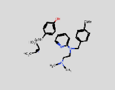 CC(=O)Nc1ccc(O)cc1.COc1ccc(CN(CCN(C)C)c2ccccn2)cc1.O=C(O)/C=C\C(=O)O